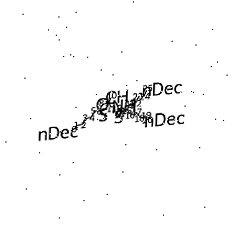 CCCCCCCCCCCCCCCC(=S)OC(C)CNC(=S)C(CCCCCCCCCCCCCC)CCCCCCCCCCCCCC